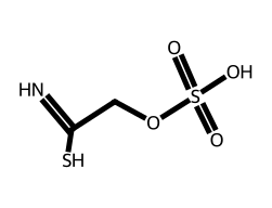 N=C(S)COS(=O)(=O)O